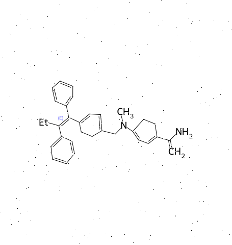 C=C(N)C1=CC=C(N(C)CC2=CC=C(/C(=C(/CC)c3ccccc3)c3ccccc3)CC2)CC1